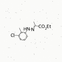 CCOC(=O)C(C)=NNc1cccc(Cl)c1C